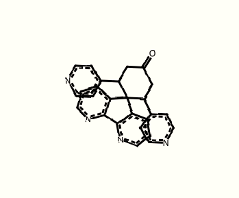 O=C1CC(c2ccncc2)C2(c3cccnc3-c3ncccc32)C(c2ccncc2)C1